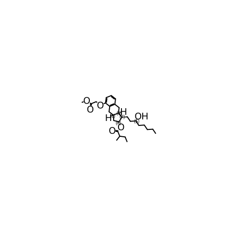 CCCCC[C@H](O)CC[C@@H]1[C@H]2Cc3cccc(OCC(=O)OC)c3C[C@H]2C[C@H]1OC(=O)C(C)CC